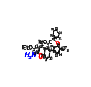 CCOC(=O)CC1C(C(=O)OCC)=C(N)Oc2ccc(-c3ccc(C(F)(F)F)c(OCc4ccccc4)c3)cc21